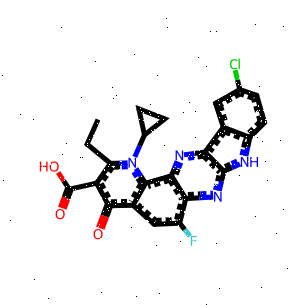 CCc1c(C(=O)O)c(=O)c2cc(F)c3nc4[nH]c5ccc(Cl)cc5c4nc3c2n1C1CC1